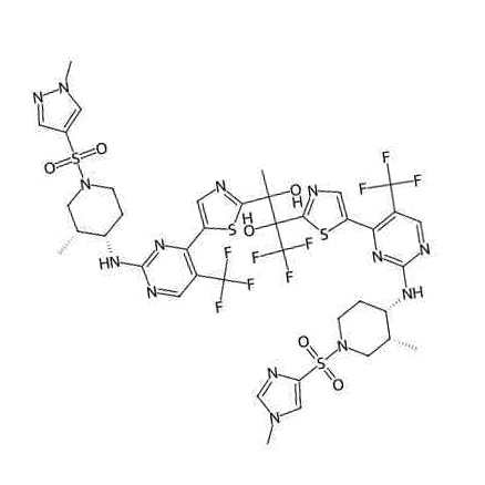 C[C@@H]1CN(S(=O)(=O)c2cnn(C)c2)CC[C@@H]1Nc1ncc(C(F)(F)F)c(-c2cnc(C(C)(O)C(O)(c3ncc(-c4nc(N[C@H]5CCN(S(=O)(=O)c6cn(C)cn6)C[C@H]5C)ncc4C(F)(F)F)s3)C(F)(F)F)s2)n1